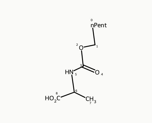 CCCCCCOC(=O)NC(C)C(=O)O